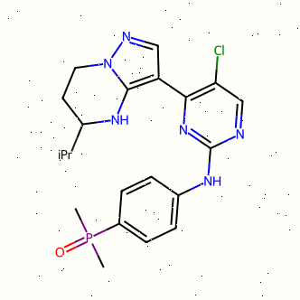 CC(C)C1CCn2ncc(-c3nc(Nc4ccc(P(C)(C)=O)cc4)ncc3Cl)c2N1